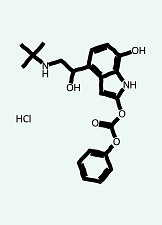 CC(C)(C)NCC(O)c1ccc(O)c2[nH]c(OC(=O)Oc3ccccc3)cc12.Cl